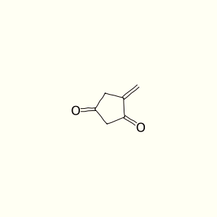 C=C1CC(=O)CC1=O